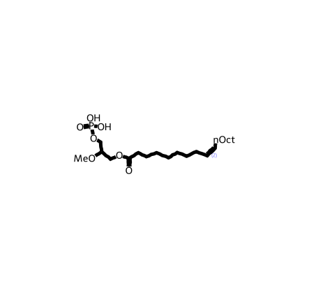 CCCCCCCC/C=C\CCCCCCCC(=O)OCC(COP(=O)(O)O)OC